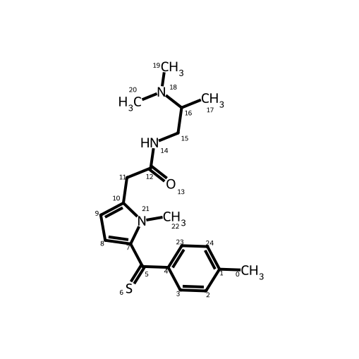 Cc1ccc(C(=S)c2ccc(CC(=O)NCC(C)N(C)C)n2C)cc1